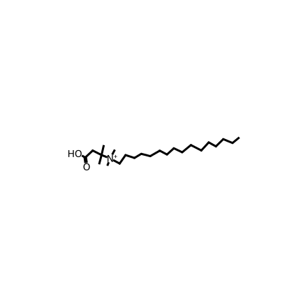 CCCCCCCCCCCCCCCC[N+](C)(C)C(C)(C)CC(=O)O